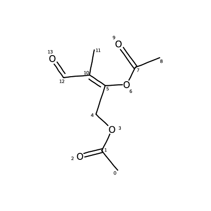 CC(=O)OCC(OC(C)=O)=C(C)C=O